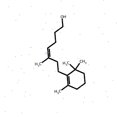 CC1=C(CC/C(C)=C\CCCO)C(C)(C)CCC1